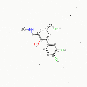 CC(C)(C)NCc1cc(C(F)(F)F)cc(-c2ccc(Cl)c(Cl)c2)c1O.Cl